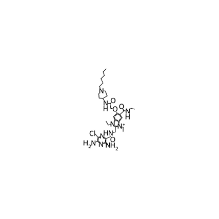 CCCCCCN1CCC(NC(=O)COc2cc3c(cc2C(=O)NCC)[n+](CC)c(CNC(=O)c2nc(Cl)c(N)nc2N)n3CC)CC1